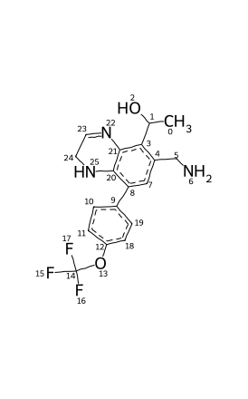 CC(O)c1c(CN)cc(-c2ccc(OC(F)(F)F)cc2)c2c1N=CCN2